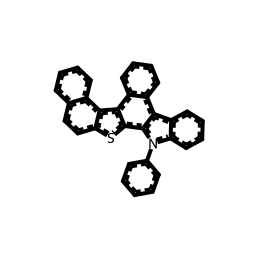 c1ccc(-n2c3ccccc3c3c4ccccc4c4c(sc5ccc6ccccc6c54)c32)cc1